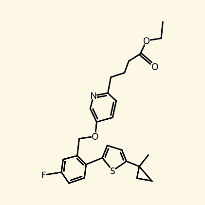 CCOC(=O)CCCc1ccc(OCc2cc(F)ccc2-c2ccc(C3(C)CC3)s2)cn1